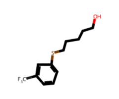 OCCCCCSc1cccc(C(F)(F)F)c1